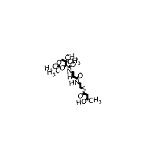 C[C@H](O)CC(=O)SCCNC(=O)CCNC(=O)[C@@H]1OC(C)(C)OCC1(C)C